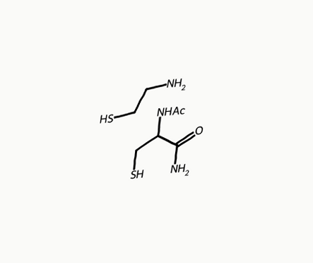 CC(=O)NC(CS)C(N)=O.NCCS